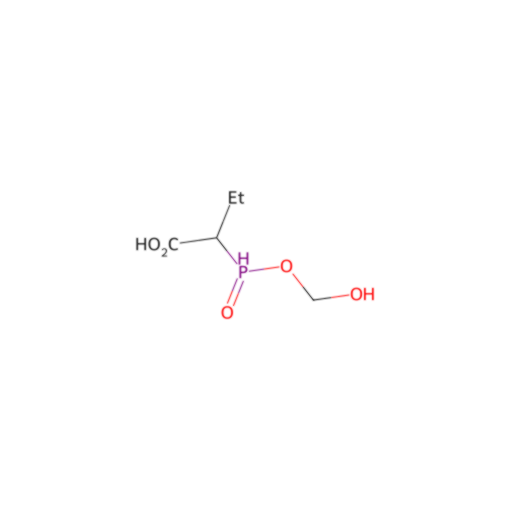 CCC(C(=O)O)[PH](=O)OCO